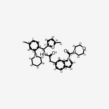 Cc1ccc(C(NC(=O)Cc2ccc3ccn(C(=O)N4CCOCC4)c3c2)c2ccc(C)o2)c(N2CCCCC2)c1